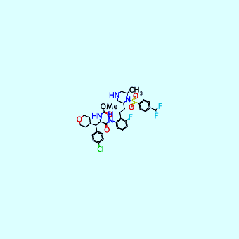 COC(=O)NC(C(=O)Nc1cccc(F)c1CC[C@H]1CNC[C@@H](C)N1S(=O)(=O)c1ccc(C(F)F)cc1)C(c1ccc(Cl)cc1)C1CCOCC1